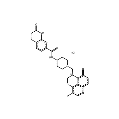 Cl.O=C1CSc2ccc(C(=O)NC3CCN(C[C@@H]4COc5c(F)cnc6ccc(=O)n4c56)CC3)nc2N1